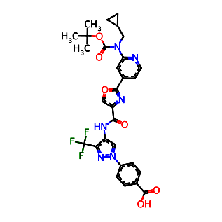 CC(C)(C)OC(=O)N(CC1CC1)c1cc(-c2nc(C(=O)Nc3cn(-c4ccc(C(=O)O)cc4)nc3C(F)(F)F)co2)ccn1